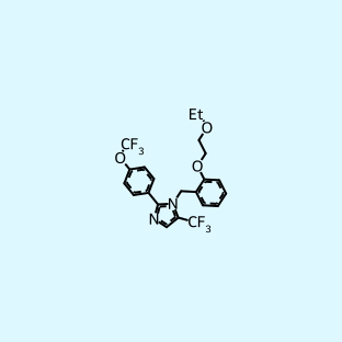 CCOCCOc1ccccc1Cn1c(C(F)(F)F)cnc1-c1ccc(OC(F)(F)F)cc1